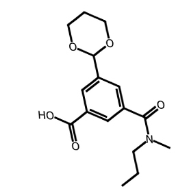 CCCN(C)C(=O)c1cc(C(=O)O)cc(C2OCCCO2)c1